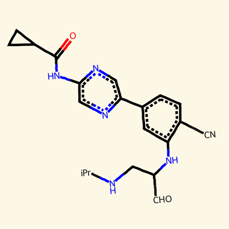 CC(C)NCC(C=O)Nc1cc(-c2cnc(NC(=O)C3CC3)cn2)ccc1C#N